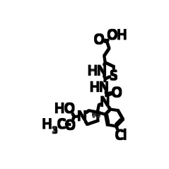 COC(O)N1CC[C@@]2(C1)CN(C(=O)NC1NC(CCC(=O)O)CS1)C1CC=C(Cl)C=C12